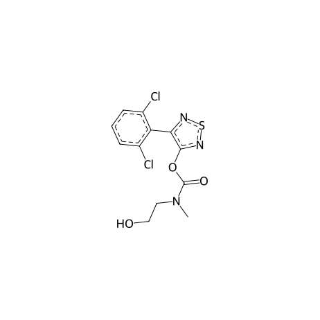 CN(CCO)C(=O)Oc1nsnc1-c1c(Cl)cccc1Cl